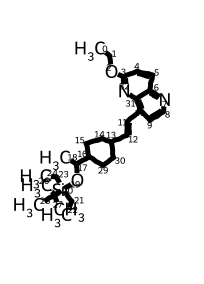 CCOc1ccc2nccc(C=CC3CCC(C(C)O[Si](CC)(CC)C(C)(C)C)CC3)c2n1